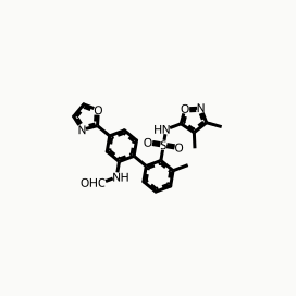 Cc1cccc(-c2ccc(-c3ncco3)cc2NC=O)c1S(=O)(=O)Nc1onc(C)c1C